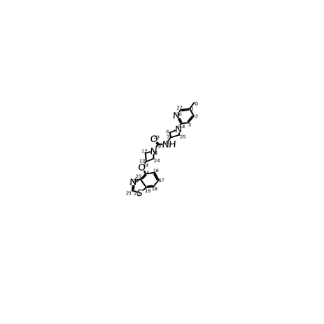 Cc1ccc(N2CC(NC(=O)N3CC(Oc4cccc5scnc45)C3)C2)nc1